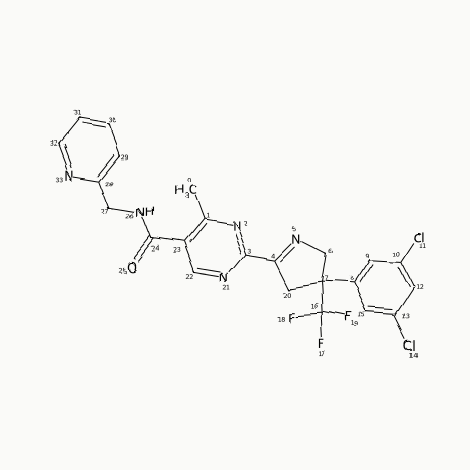 Cc1nc(C2=NCC(c3cc(Cl)cc(Cl)c3)(C(F)(F)F)C2)ncc1C(=O)NCc1ccccn1